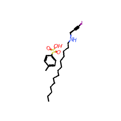 CCCCCCCCCCCCCCNCC#CI.Cc1ccc(S(=O)(=O)O)cc1